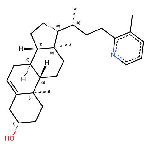 Cc1cccnc1CC[C@@H](C)[C@H]1CC[C@H]2[C@@H]3CC=C4C[C@@H](O)CC[C@]4(C)[C@H]3CC[C@]12C